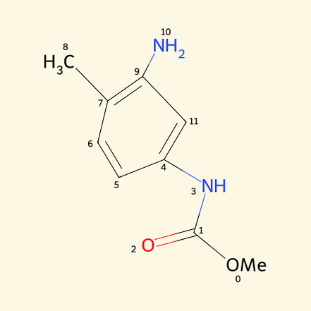 COC(=O)Nc1ccc(C)c(N)c1